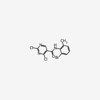 Cc1cccc(Br)c1NC(=O)c1cnc(Cl)nc1Cl